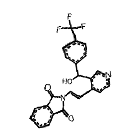 O=C1c2ccccc2C(=O)N1/C=C/c1ccncc1C(O)c1ccc(C(F)(F)F)cc1